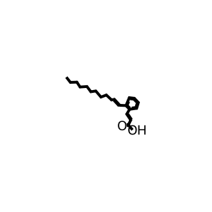 CCCCCCCCCCC=Cc1ccccc1C=CC(=O)O